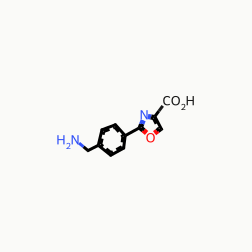 NCc1ccc(-c2nc(C(=O)O)co2)cc1